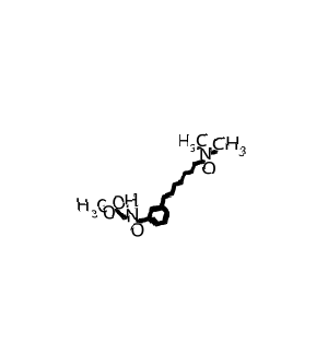 CCN(CC)C(=O)CCCCCCCc1cccc(C(=O)NCC(=O)OC)c1